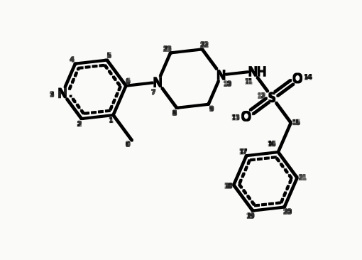 Cc1cnccc1N1CCN(NS(=O)(=O)Cc2ccccc2)CC1